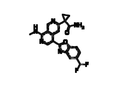 CNc1ncc(-c2nc3cc(C(F)F)ccc3o2)c2cc(C3(C(N)=O)CC3)ncc12